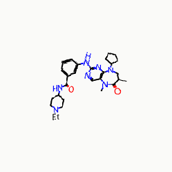 CCN1CCC(NC(=O)c2cccc(Nc3ncc4c(n3)N(C3CCCC3)CC(C)C(=O)N4C)c2)CC1